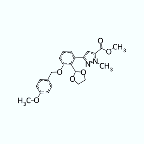 COC(=O)c1cc(-c2cccc(OCc3ccc(OC)cc3)c2C2OCCO2)nn1C